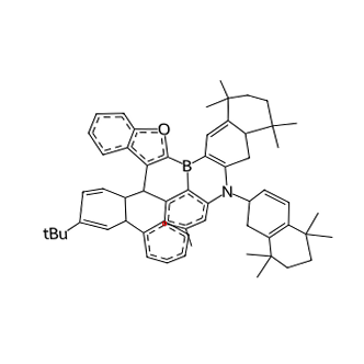 Cc1cc2c3c(c1)N(C1C=CC4=C(C1)C(C)(C)CCC4(C)C)C1=C(C=C4C(C1)C(C)(C)CCC4(C)C)B3c1oc3ccccc3c1C2C1C=CC(C(C)(C)C)=CC1c1ccccc1